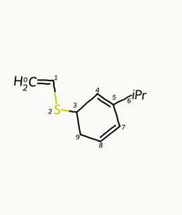 C=CSC1C=C(C(C)C)C=CC1